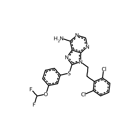 Nc1ncnc2c1nc(Sc1cccc(OC(F)F)c1)n2CCc1c(Cl)cccc1Cl